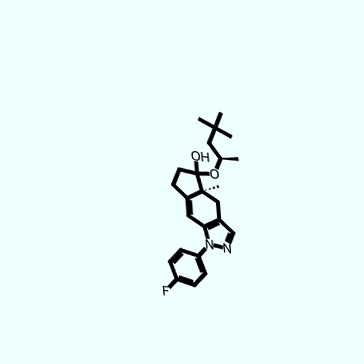 C[C@H](CC(C)(C)C)OC1(O)CCC2=Cc3c(cnn3-c3ccc(F)cc3)C[C@@]21C